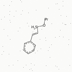 CC(C)O[SiH2]C=Cc1ccccc1